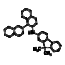 CC1(C)c2ccccc2-c2ccc(Nc3ccc4ccccc4c3-c3ccc4ccccc4c3)cc21